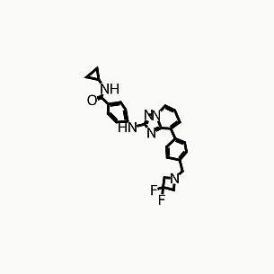 O=C(NC1CC1)c1ccc(Nc2nc3c(-c4ccc(CN5CC(F)(F)C5)cc4)cccn3n2)cc1